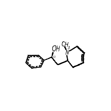 CN1CC=CCC1C[C@H](O)c1ccccc1